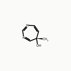 C[C@]1(O)C=CN=CN=C1